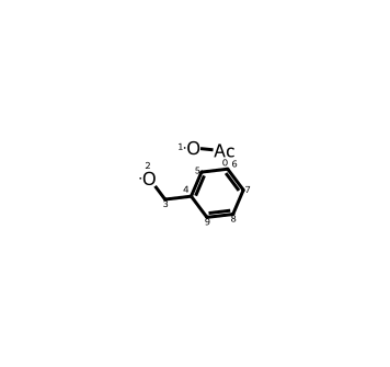 CC([O])=O.[O]Cc1ccccc1